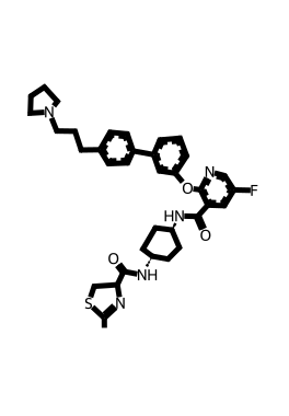 CC1=NC(C(=O)N[C@H]2CC[C@@H](NC(=O)c3cc(F)cnc3Oc3cccc(-c4ccc(CCCN5CCCC5)cc4)c3)CC2)CS1